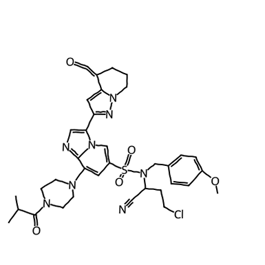 COc1ccc(CN(C(C#N)CCCl)S(=O)(=O)c2cc(N3CCN(C(=O)C(C)C)CC3)c3ncc(-c4cc5n(n4)CCCC5=C=O)n3c2)cc1